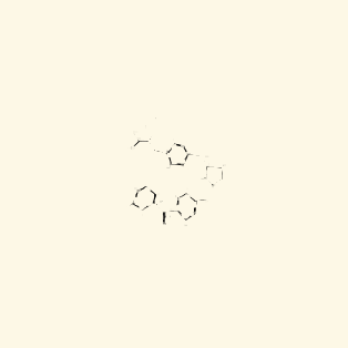 CO[C@@H](Cc1ccc(O[C@H]2CC[C@H](Oc3ccc(C(=O)c4ccccc4)cc3)C2)cc1)C(=O)O